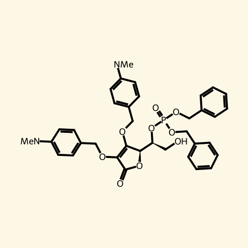 CNc1ccc(COC2=C(OCc3ccc(NC)cc3)[C@@H]([C@H](CO)OP(=O)(OCc3ccccc3)OCc3ccccc3)OC2=O)cc1